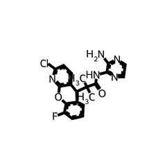 CC(C)(C(=O)Nc1nccnc1N)C1c2ccc(Cl)nc2Oc2c(F)cccc21